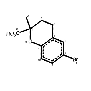 CC1(C(=O)O)CCc2cc(Br)ccc2O1